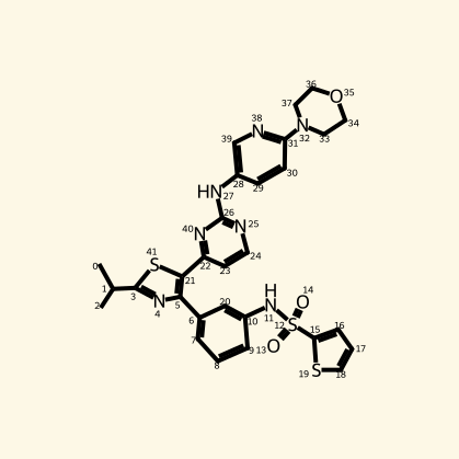 CC(C)c1nc(-c2cccc(NS(=O)(=O)c3cccs3)c2)c(-c2ccnc(Nc3ccc(N4CCOCC4)nc3)n2)s1